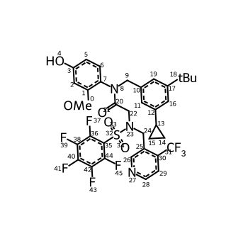 COc1cc(O)ccc1N(Cc1cc(C2CC2)cc(C(C)(C)C)c1)C(=O)CN(Cc1cnccc1C(F)(F)F)S(=O)(=O)c1c(F)c(F)c(F)c(F)c1F